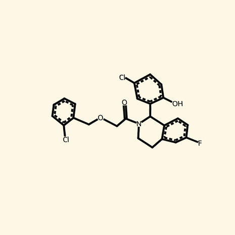 O=C(COCc1ccccc1Cl)N1CCc2cc(F)ccc2C1c1cc(Cl)ccc1O